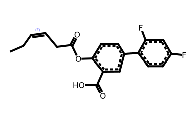 CC/C=C\CC(=O)Oc1ccc(-c2ccc(F)cc2F)cc1C(=O)O